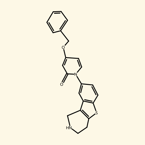 O=c1cc(OCc2ccccc2)ccn1-c1ccc2sc3c(c2c1)CNCC3